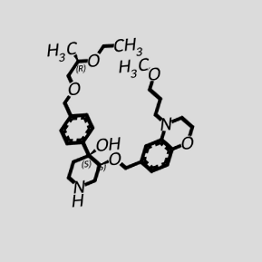 CCO[C@H](C)COCc1ccc([C@@]2(O)CCNC[C@@H]2OCc2ccc3c(c2)N(CCCOC)CCO3)cc1